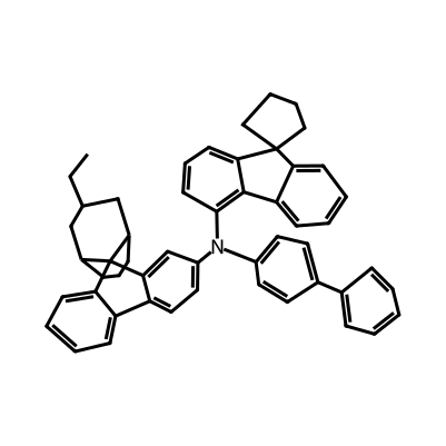 CCC1CC2CCCC(C1)C21c2ccccc2-c2ccc(N(c3ccc(-c4ccccc4)cc3)c3cccc4c3-c3ccccc3C43CCCC3)cc21